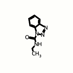 CCNC(=O)n1nnc2ccccc21